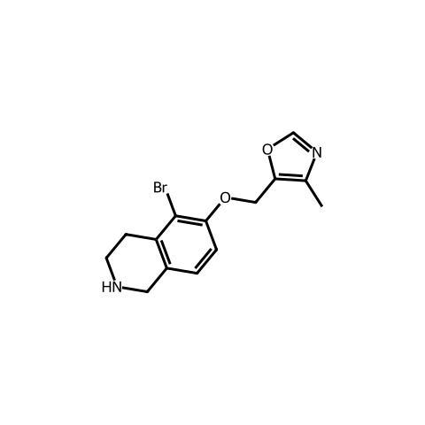 Cc1ncoc1COc1ccc2c(c1Br)CCNC2